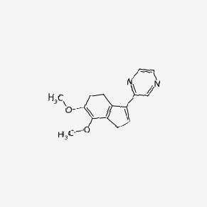 COC1=C(OC)C2=C(CC1)C(c1cnccn1)=CC2